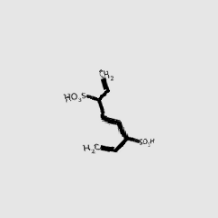 C=CC(CCC(C=C)S(=O)(=O)O)S(=O)(=O)O